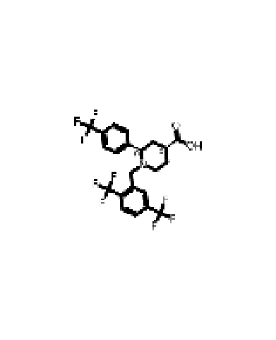 O=C(O)[C@H]1CCN(Cc2cc(C(F)(F)F)ccc2C(F)(F)F)[C@@H](c2ccc(C(F)(F)F)cc2)C1